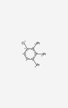 CC(C)c1ccc(Cl)c(C(C)C)c1C(C)C